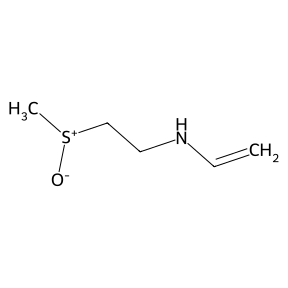 C=CNCC[S+](C)[O-]